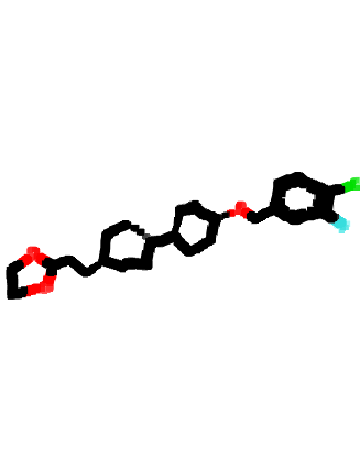 Fc1cc(CO[C@H]2CC[C@H]([C@H]3CC[C@H](CCC4OCCO4)CC3)CC2)ccc1Cl